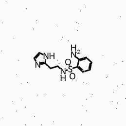 Nc1ccccc1S(=O)(=O)NCCc1ncc[nH]1